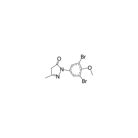 COc1c(Br)cc(N2N=C(C)CC2=O)cc1Br